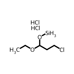 CCOC(CCCl)O[SiH3].Cl.Cl